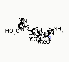 CO/N=C(\C(=O)N[C@@H]1C(=O)N2C(OC(=O)O)=C(CSc3nc(C(=O)O)cc4ncnn34)CS[C@H]12)c1csc(N)n1